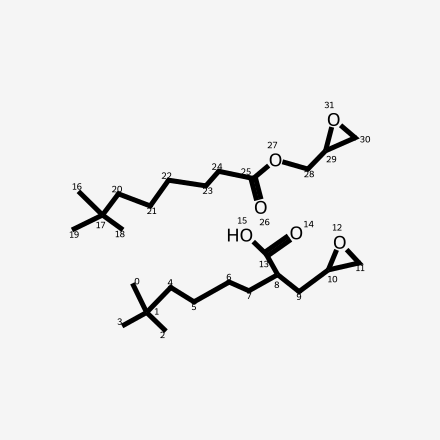 CC(C)(C)CCCCC(CC1CO1)C(=O)O.CC(C)(C)CCCCCC(=O)OCC1CO1